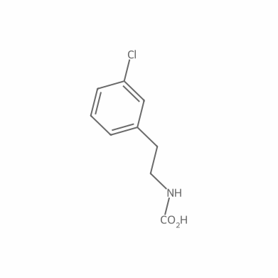 O=C(O)NCCc1cccc(Cl)c1